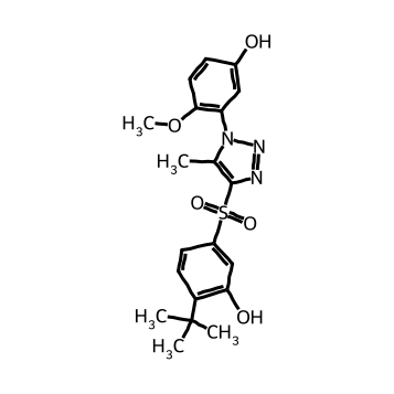 COc1ccc(O)cc1-n1nnc(S(=O)(=O)c2ccc(C(C)(C)C)c(O)c2)c1C